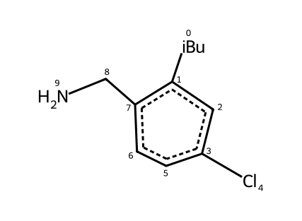 CCC(C)c1cc(Cl)ccc1CN